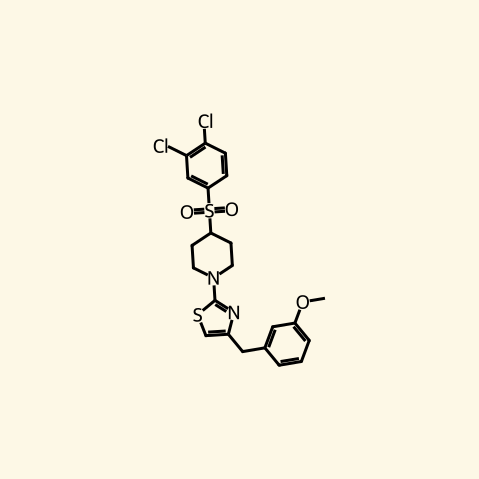 COc1cccc(Cc2csc(N3CCC(S(=O)(=O)c4ccc(Cl)c(Cl)c4)CC3)n2)c1